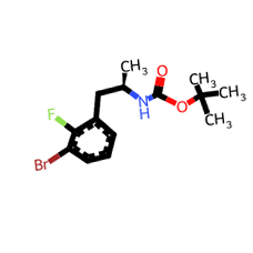 C[C@H](Cc1cccc(Br)c1F)NC(=O)OC(C)(C)C